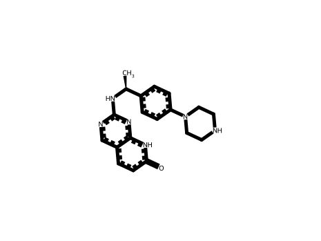 C[C@H](Nc1ncc2ccc(=O)[nH]c2n1)c1ccc(N2CCNCC2)cc1